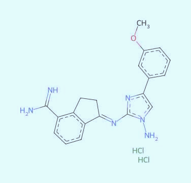 COc1cccc(-c2cn(N)c(N=C3CCc4c(C(=N)N)cccc43)n2)c1.Cl.Cl